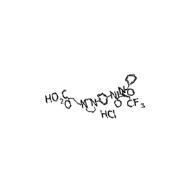 Cl.O=C(O)C(=O)CCN1CCCN(c2ccc(NC(=O)c3nc(-c4ccccc4)oc3C(F)(F)F)cc2)CC1